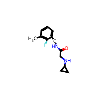 Cc1cccc(CNC(=O)CNC2CC2)c1F